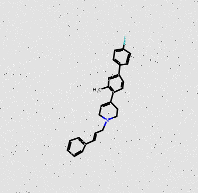 Cc1cc(-c2ccc(F)cc2)ccc1C1=CCN(CC=Cc2ccccc2)CC1